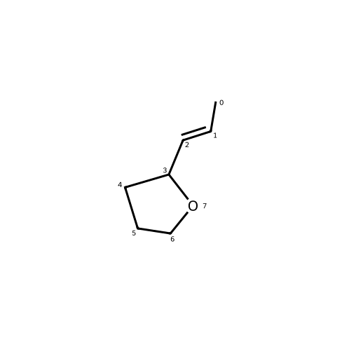 CC=CC1CCCO1